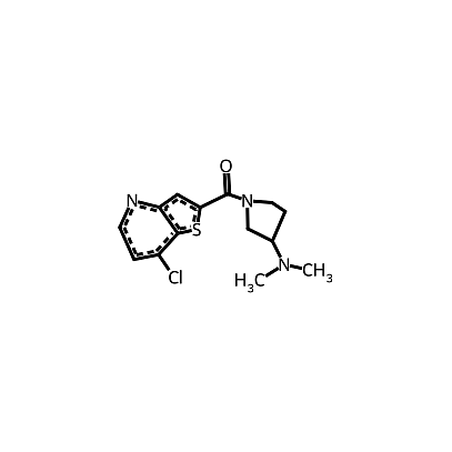 CN(C)C1CCN(C(=O)c2cc3nccc(Cl)c3s2)C1